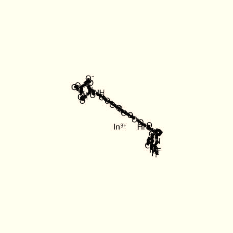 CN(C(=O)c1ccc(Cl)c(-c2cnc(C(F)(F)F)cc2C#N)c1)c1ccccc1OCCC(=O)NCCOCCOCCOCCOCCOCCOCCOCCOCCNC(=O)CN1CCN(CC(=O)[O-])CCN(CC(=O)[O-])CCN(CC(=O)[O-])CC1.[In+3]